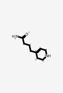 NC(=O)CC[CH]C1=CCNCC1